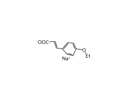 CCOc1ccc(/C=C/C(=O)[O-])cc1.[Na+]